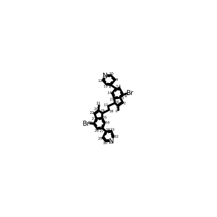 CC1=Cc2c(Br)cc(-c3ccncc3)cc2C1CCC1C(C)=Cc2c(Br)cc(-c3ccncc3)cc21